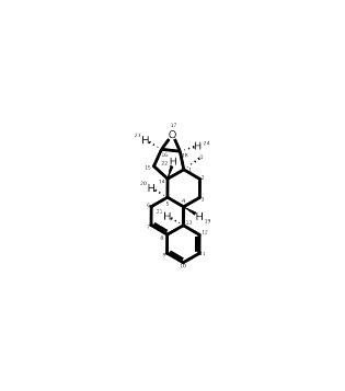 C[C@]12CC[C@H]3[C@@H](CC=C4C=CC=C[C@@H]43)[C@@H]1C[C@H]1O[C@H]12